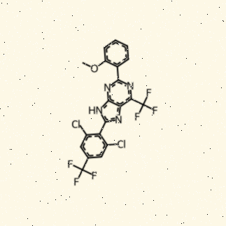 COc1ccccc1-c1nc(C(F)(F)F)c2nc(-c3c(Cl)cc(C(F)(F)F)cc3Cl)[nH]c2n1